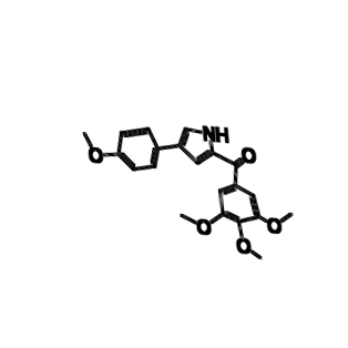 COc1ccc(-c2c[nH]c(C(=O)c3cc(OC)c(OC)c(OC)c3)c2)cc1